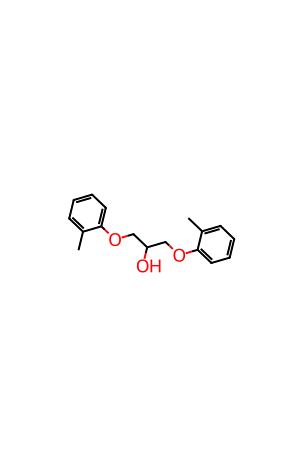 Cc1ccccc1OCC(O)COc1ccccc1C